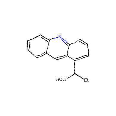 CCC(c1cccc2nc3ccccc3cc12)S(=O)(=O)O